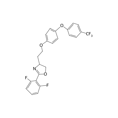 Fc1cccc(F)c1C1=NC(CCOc2ccc(Oc3ccc(C(F)(F)F)cc3)cc2)CO1